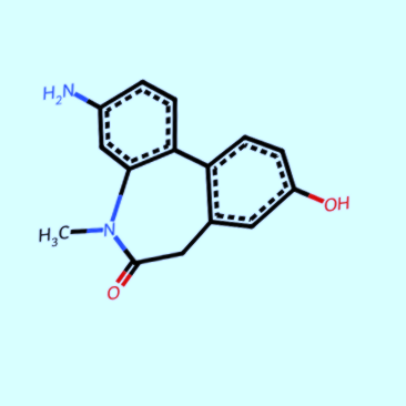 CN1C(=O)Cc2cc(O)ccc2-c2ccc(N)cc21